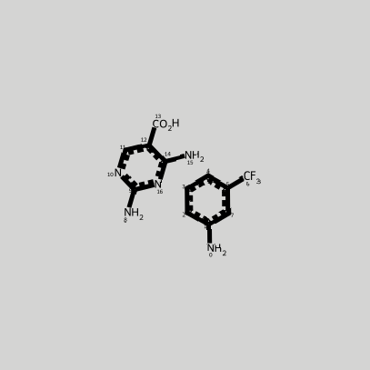 Nc1cccc(C(F)(F)F)c1.Nc1ncc(C(=O)O)c(N)n1